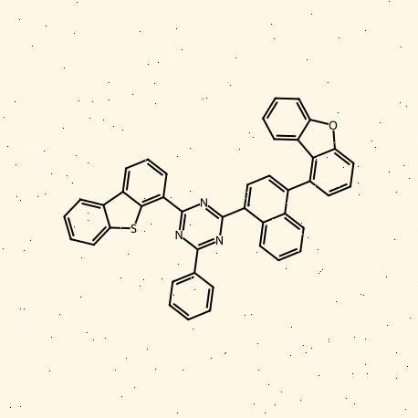 c1ccc(-c2nc(-c3ccc(-c4cccc5oc6ccccc6c45)c4ccccc34)nc(-c3cccc4c3sc3ccccc34)n2)cc1